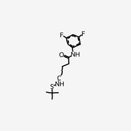 CC(C)(C)SNCCCCC(=O)Nc1cc(F)cc(F)c1